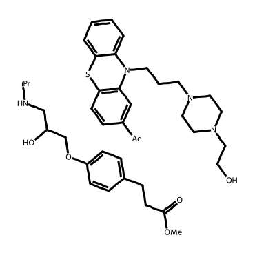 CC(=O)c1ccc2c(c1)N(CCCN1CCN(CCO)CC1)c1ccccc1S2.COC(=O)CCc1ccc(OCC(O)CNC(C)C)cc1